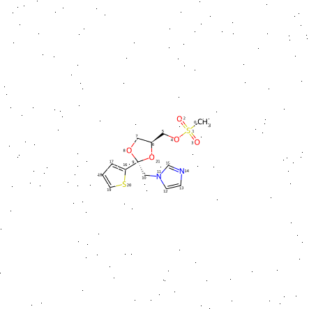 CS(=O)(=O)OC[C@@H]1CO[C@](Cn2ccnc2)(c2cccs2)O1